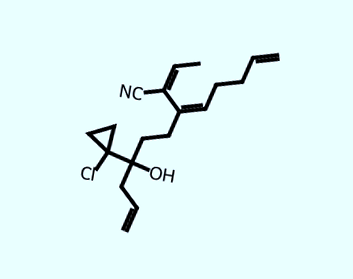 C=CCC/C=C(CCC(O)(CC=C)C1(Cl)CC1)\C(C#N)=C/C